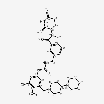 Cc1c(Cl)cc(NC(=O)NCc2ccc3c(c2)C(=O)N(C2CCC(=O)NC2=O)C3)cc1CN1CCC(N2CCOCC2)CC1